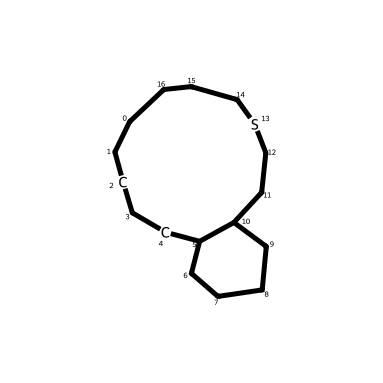 C1CCCCC2CCCCC2CCSCCC1